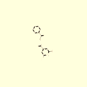 O=C(COC(=O)c1cc(F)nc(F)c1)c1ccccc1